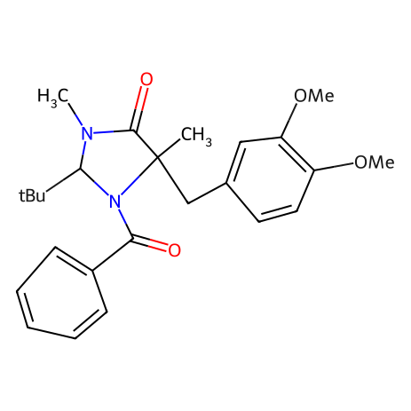 COc1ccc(CC2(C)C(=O)N(C)C(C(C)(C)C)N2C(=O)c2ccccc2)cc1OC